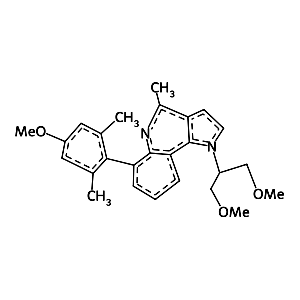 COCC(COC)n1ccc2c(C)nc3c(-c4c(C)cc(OC)cc4C)cccc3c21